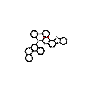 c1ccc(-c2ccccc2N(c2ccc3c(ccc4c5ccccc5oc34)c2)c2cc3ccc4ccccc4c3c3ccccc23)cc1